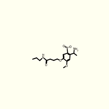 CCCNC(=O)CCCOc1cc([N+](=O)[O-])c(C(C)N)cc1OC